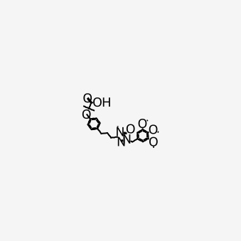 COc1cc(Cn2nc(CCCc3ccc(OC(C)(C)C(=O)O)cc3)n(C)c2=O)cc(OC)c1OC